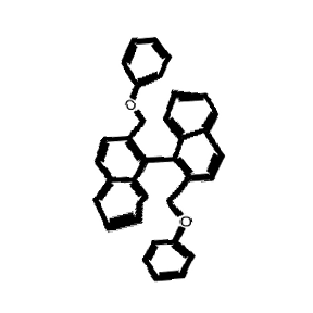 c1ccc(OCc2ccc3ccccc3c2-c2c(COc3ccccc3)ccc3ccccc23)cc1